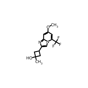 COc1cc(C(F)(F)F)n2cc(C3CC(C)(O)C3)nc2c1